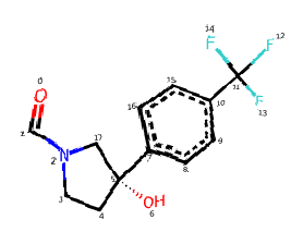 O=CN1CC[C@](O)(c2ccc(C(F)(F)F)cc2)C1